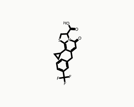 O=C(O)C1CSc2c(C3CC3)c(Cc3cccc(C(F)(F)F)c3)cc(=O)n21